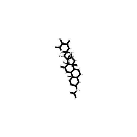 CC(C)OC1CC[C@@]2(C)C(CCC3C2CC(C)[C@@]2(C)C3(C)CC3OC4(CC(C)C(C)C(C)O4)[C@@H](C)C32C)C1